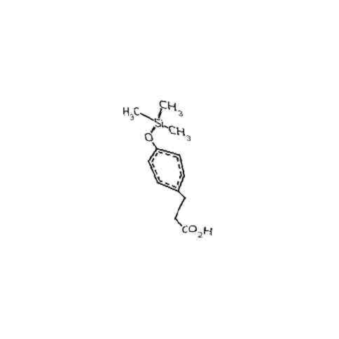 C[Si](C)(C)Oc1ccc(CCC(=O)O)cc1